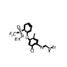 CCN=S(=O)(c1ccccc1Oc1cc(Cl)c(N=CN(C)CC)cc1C)C(F)(F)F